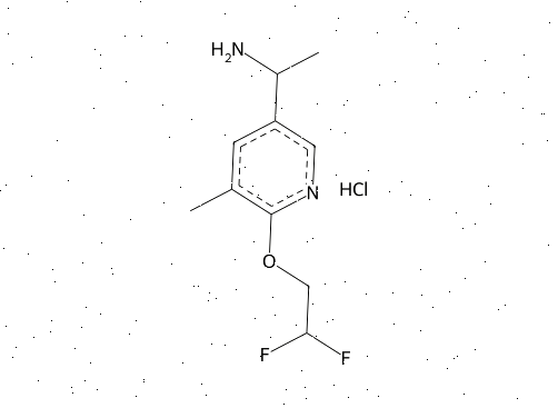 Cc1cc(C(C)N)cnc1OCC(F)F.Cl